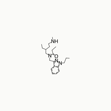 CCCn1nc(CN(CC(CC)CCNC)C(=O)CC)c2ccccc21